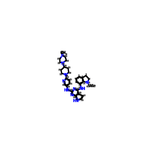 CSN1CCc2cccc(Nc3nc(Nc4ccc(N5CCC(N6CCN(C)CC6)CC5)nc4)nc4[nH]ccc34)c21